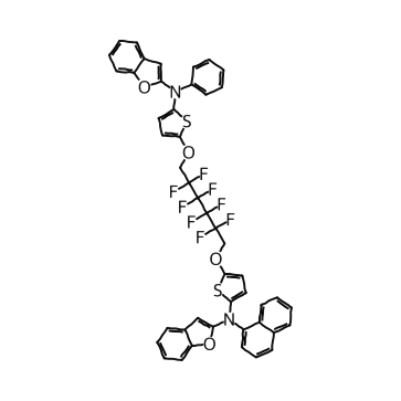 FC(F)(COc1ccc(N(c2ccccc2)c2cc3ccccc3o2)s1)C(F)(F)C(F)(F)C(F)(F)COc1ccc(N(c2cc3ccccc3o2)c2cccc3ccccc23)s1